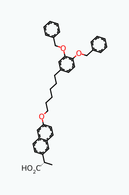 C[C@H](C(=O)O)c1ccc2cc(OCCCCCCc3ccc(OCc4ccccc4)c(OCc4ccccc4)c3)ccc2c1